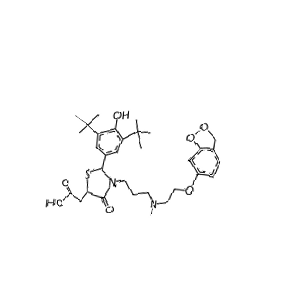 CN(CCCN1C(=O)C(CC(=O)O)SC1c1cc(C(C)(C)C)c(O)c(C(C)(C)C)c1)CCOc1ccc2c(c1)OOC2